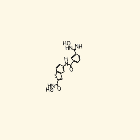 N=C(NO)c1cccc(C(=O)Nc2ccc3sc(C(=O)NO)cc3c2)c1